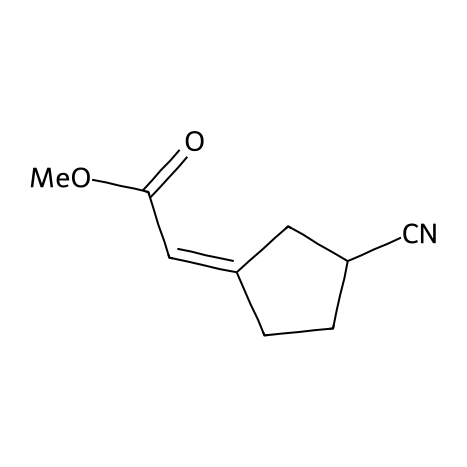 COC(=O)/C=C1/CCC(C#N)C1